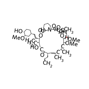 C=CC[C@@H]1/C=C(\C)C[C@H](C)C[C@H](OC)[C@H]2O[C@@](O)(C(=O)C(=O)N3CCCC[C@H]3C(=O)O[C@H](/C(C)=C/[C@@H]3CC[C@@H](O)[C@H](OC)C3)[C@H](C)[C@@H](O)CC1=O)C(C)(C)C[C@@H]2OC